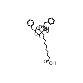 CC(OC(=O)Cc1ccccc1)C(CCCCCCCCCC(=O)O)(C(=O)O)C(C)OC(=O)Cc1ccccc1